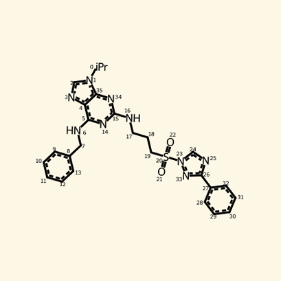 CC(C)n1cnc2c(NCc3ccccc3)nc(NCCCS(=O)(=O)n3cnc(-c4ccccc4)n3)nc21